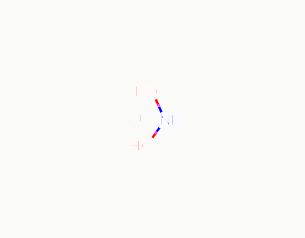 ONO.[Cu]